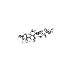 CN(C(=O)OC(C)(C)C)C1CCN(c2cccc3c(N4CCC(=O)NC4=O)cncc23)CC1